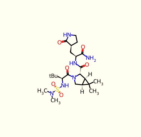 CN(C)S(=O)(=O)N[C@H](C(=O)N1C[C@H]2[C@@H]([C@H]1C(=O)N[C@@H](C[C@@H]1CCNC1=O)C(N)=O)C2(C)C)C(C)(C)C